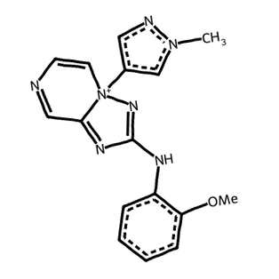 COc1ccccc1NC1=N[N+]2(c3cnn(C)c3)C=CN=CC2=N1